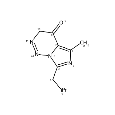 Cc1nc(CC(C)C)n2c1C(=O)CN=N2